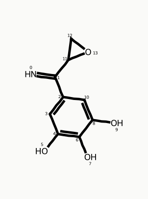 N=C(c1cc(O)c(O)c(O)c1)C1CO1